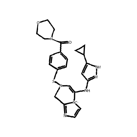 O=C(c1ccc(SN2C=C(Nc3cc(C4CC4)[nH]n3)[N+]3C=CN=C3C2)cc1)N1CCOCC1